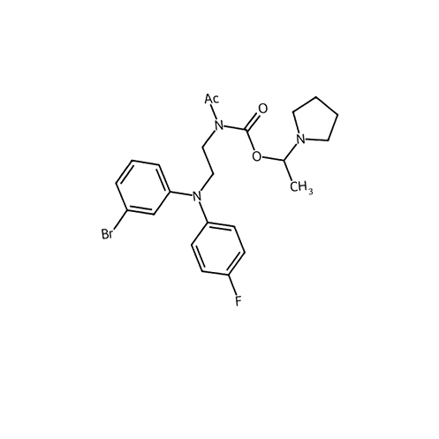 CC(=O)N(CCN(c1ccc(F)cc1)c1cccc(Br)c1)C(=O)OC(C)N1CCCC1